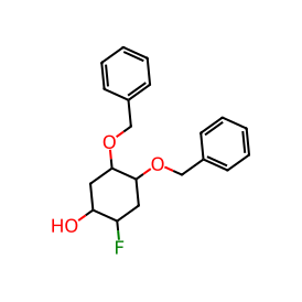 OC1CC(OCc2ccccc2)C(OCc2ccccc2)CC1F